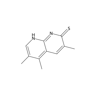 Cc1c[nH]c2nc(=S)c(C)cc-2c1C